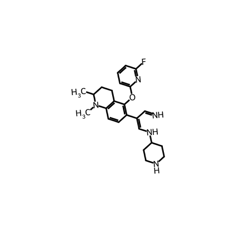 CC1CCc2c(ccc(/C(C=N)=C/NC3CCNCC3)c2Oc2cccc(F)n2)N1C